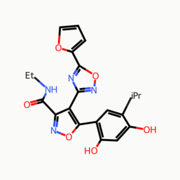 CCNC(=O)c1noc(-c2cc(C(C)C)c(O)cc2O)c1-c1noc(-c2ccco2)n1